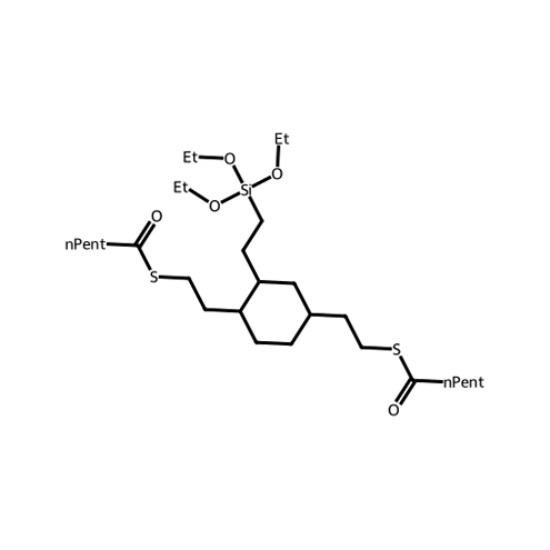 CCCCCC(=O)SCCC1CCC(CCSC(=O)CCCCC)C(CC[Si](OCC)(OCC)OCC)C1